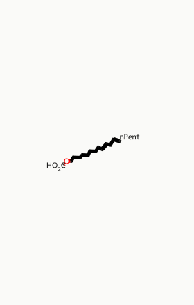 CCCCCC=CCC=CCCCCCCCCOC(=O)O